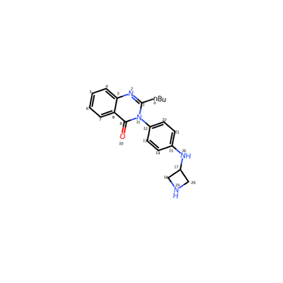 CCCCc1nc2ccccc2c(=O)n1-c1ccc(NC2CNC2)cc1